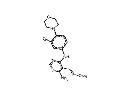 CON=Cc1c(N)ncnc1Nc1ccc(N2CCOCC2)c(Cl)c1